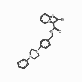 CCc1nc2ccccn2c1C(=O)NCc1ccc(N2CCN(c3ccccc3)CC2)cc1